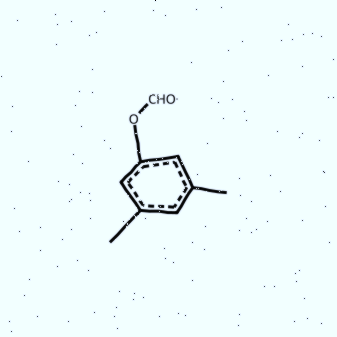 Cc1cc(C)cc(O[C]=O)c1